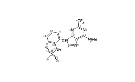 CNc1nc(C(F)(F)F)nc2c1ncn2-c1ccccc1NS(C)(=O)=O